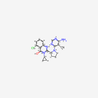 N#Cc1c(N)ncnc1N1CCC[C@H]1c1nc2cccc(Cl)c2c(=O)n1C1CC1